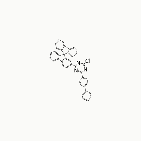 Clc1nc(-c2ccc(-c3ccccc3)cc2)nc(-c2ccc3c(c2)C2(c4ccccc4-c4ccccc42)c2ccccc2-3)n1